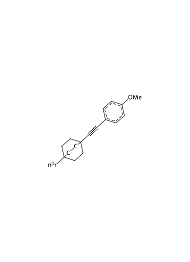 CCCC12CCC(C#Cc3ccc(OC)cc3)(CC1)CC2